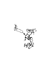 CC(C)Oc1cc2c(OCC3CCC(=O)N3)ncc(C#CC3CCN(C(=O)OC(C)(C)C)CC3)c2cc1C(N)=O